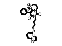 O=c1c(-c2ccccc2)c2n(c(=O)n1CCCCSc1cccc3nccn13)CCCS2(=O)=O